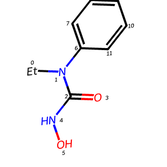 CCN(C(=O)NO)c1ccccc1